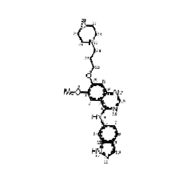 COc1cc2c(Nc3ccc4cn[nH]c4c3)ncnc2cc1OCCCN1CCOCC1